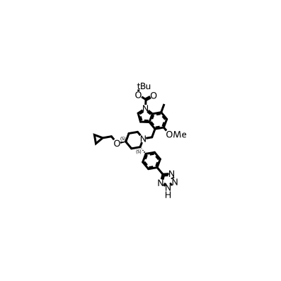 COc1cc(C)c2c(ccn2C(=O)OC(C)(C)C)c1CN1CC[C@H](OCC2CC2)C[C@H]1c1ccc(-c2nn[nH]n2)cc1